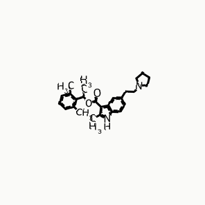 Cc1cccc(C)c1C(C)OC(=O)c1c(C)[nH]c2ccc(CCN3CCCC3)cc12